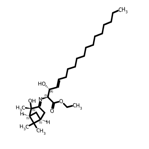 CCCCCCCCCCCCCC=C[C@@H](O)[C@H](N=C1C[C@@H]2C[C@@H](C2(C)C)[C@]1(C)O)C(=O)OCC